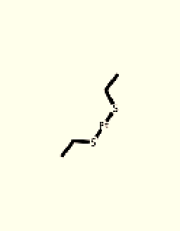 CC[S][Pt][S]CC